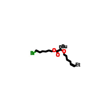 CC/C=C\CCCCOC(CCCC)C(=O)OCCCCCCBr